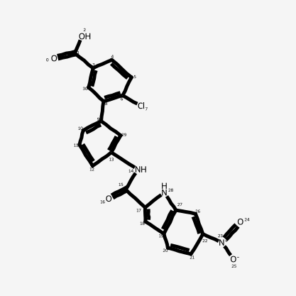 O=C(O)c1ccc(Cl)c(-c2cccc(NC(=O)c3cc4ccc([N+](=O)[O-])cc4[nH]3)c2)c1